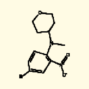 CN(c1ccc(Br)cc1[N+](=O)[O-])C1CCOCC1